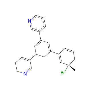 C[C@@]1(Br)C=C(C2=CC(c3cccnc3)=CC(C3=CCCN=C3)C2)C=CC1